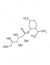 CC1CCC(C(C)C)C(OC(=O)[C@H](O)[C@@H](O)[C@H](O)[C@H](O)CO)C1